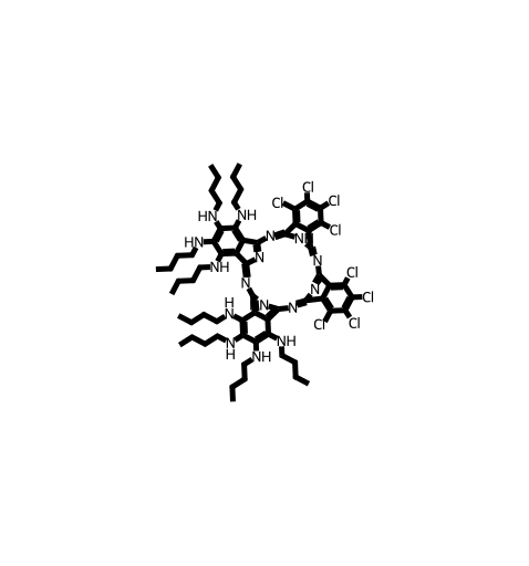 CCCCNc1c(NCCCC)c(NCCCC)c2c(c1NCCCC)-c1nc-2nc2[nH]c(nc3nc(nc4[nH]c(n1)c1c(Cl)c(Cl)c(Cl)c(Cl)c41)-c1c(Cl)c(Cl)c(Cl)c(Cl)c1-3)c1c(NCCCC)c(NCCCC)c(NCCCC)c(NCCCC)c21